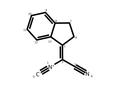 [C-]#[N+]C(C#N)=C1CCc2ccccc21